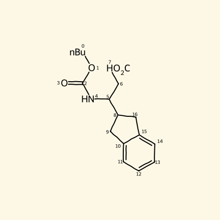 CCCCOC(=O)NC(CC(=O)O)C1Cc2ccccc2C1